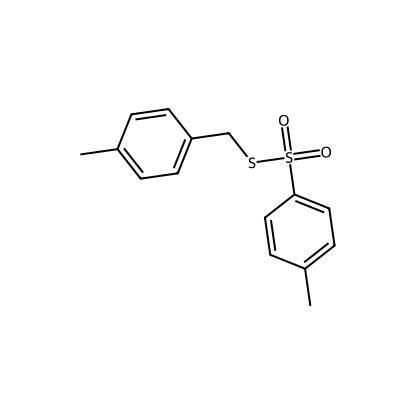 Cc1ccc(CSS(=O)(=O)c2ccc(C)cc2)cc1